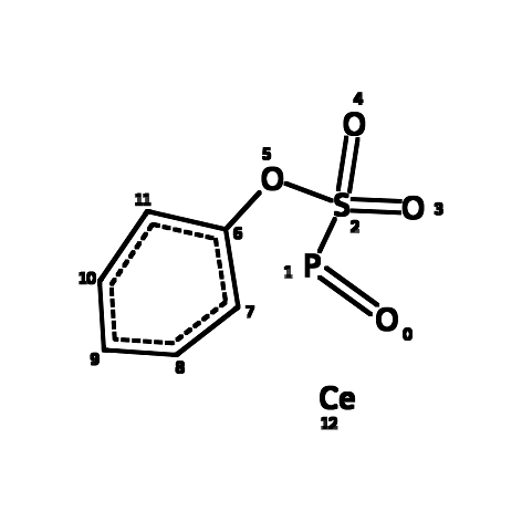 O=PS(=O)(=O)Oc1ccccc1.[Ce]